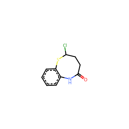 O=C1CCC(Cl)Sc2ccccc2N1